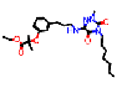 CCCCCCCn1c(=O)c(NCCCc2cccc(OC(C)(C)C(=O)OCC)c2)nn(C)c1=O